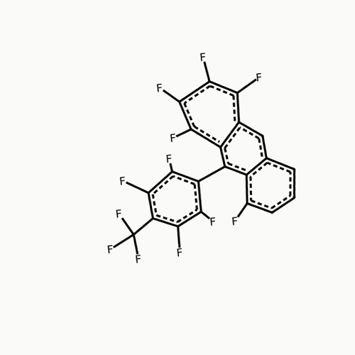 Fc1c(F)c(C(F)(F)F)c(F)c(F)c1-c1c2c(F)cccc2cc2c(F)c(F)c(F)c(F)c12